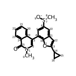 Cn1cc(-c2cc([S+](C)[O-])cc3cc(C4CC4)oc23)c2ccccc2c1=O